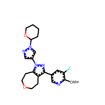 COc1ncc(-c2nn(-c3cnn(C4CCCCO4)c3)c3c2CCOCC3)cc1F